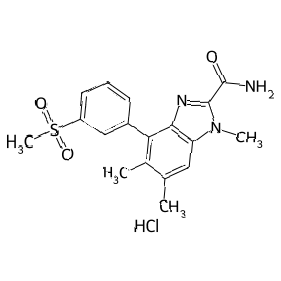 Cc1cc2c(nc(C(N)=O)n2C)c(-c2cccc(S(C)(=O)=O)c2)c1C.Cl